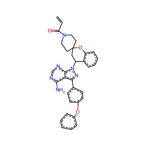 C=CC(=O)N1CCC2(CC1)CC(n1nc(-c3ccc(Oc4ccccc4)cc3)c3c(N)ncnc31)c1ccccc1O2